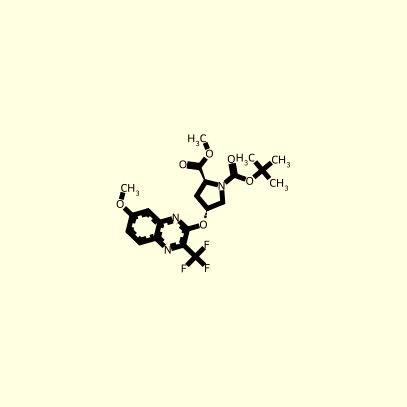 COC(=O)[C@@H]1C[C@@H](Oc2nc3cc(OC)ccc3nc2C(F)(F)F)CN1C(=O)OC(C)(C)C